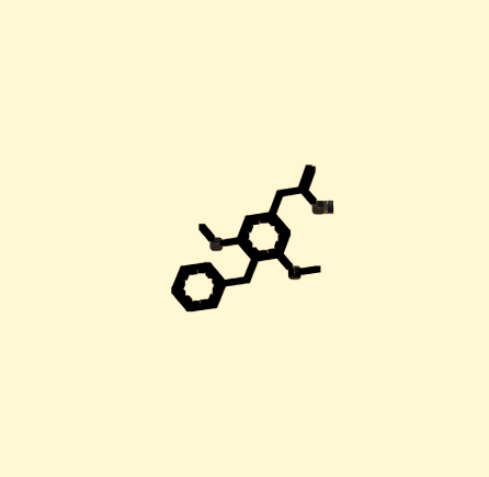 C=C(O)Cc1cc(OC)c(Cc2ccccc2)c(OC)c1